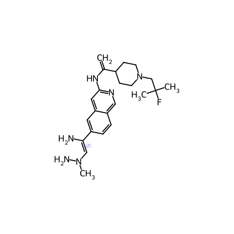 C=C(Nc1cc2cc(/C(N)=C/N(C)N)ccc2cn1)C1CCN(CC(C)(C)F)CC1